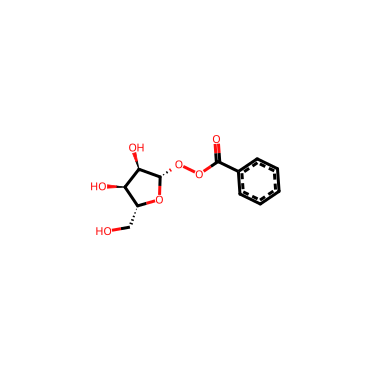 O=C(OO[C@@H]1O[C@H](CO)[C@@H](O)[C@H]1O)c1ccccc1